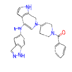 O=C(c1ccccc1)N1CC=C(N2C=C(Nc3ccc4[nH]ncc4c3)c3cc[nH]c3C2)CC1